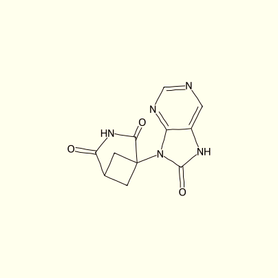 O=C1NC(=O)C2(n3c(=O)[nH]c4cncnc43)CC1C2